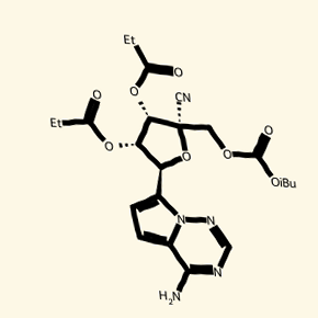 CCC(=O)O[C@H]1[C@H](c2ccc3c(N)ncnn23)O[C@](C#N)(COC(=O)OCC(C)C)[C@H]1OC(=O)CC